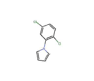 Clc1ccc(Cl)c(-n2[c]ccc2)c1